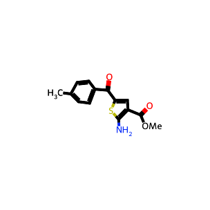 COC(=O)c1cc(C(=O)c2ccc(C)cc2)sc1N